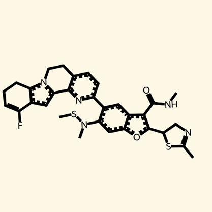 CNC(=O)c1c(C2CN=C(C)S2)oc2cc(N(C)SC)c(-c3ccc4c(n3)-c3cc5c(n3CC4)CCC=C5F)cc12